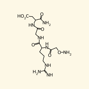 N=C(N)NCCCC(NC(=O)CON)C(=O)NCC(=O)NC(CC(=O)O)C(N)=O